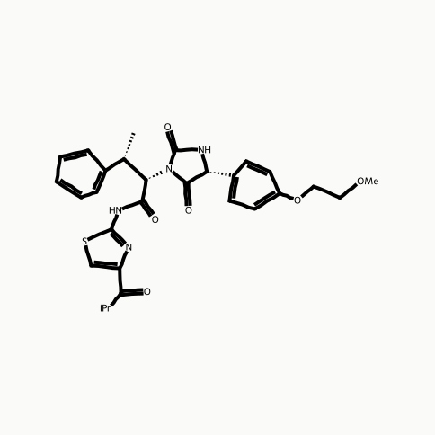 COCCOc1ccc([C@H]2NC(=O)N([C@H](C(=O)Nc3nc(C(=O)C(C)C)cs3)[C@@H](C)c3ccccc3)C2=O)cc1